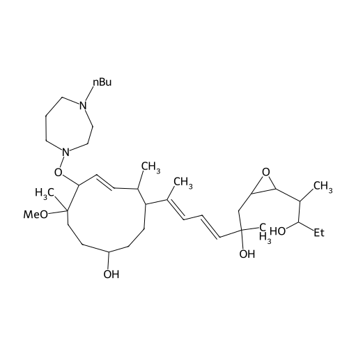 CCCCN1CCCN(OC2/C=C/C(C)C(/C(C)=C/C=C/C(C)(O)CC3OC3C(C)C(O)CC)CCC(O)CCC2(C)OC)CC1